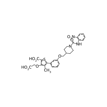 Cc1c(-c2cccc(OCC3CCN(C(=O)Nc4ccccc4[N+](=O)[O-])CC3)c2)sc(C(=O)O)c1OCC(=O)O